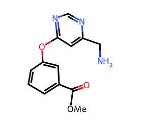 COC(=O)c1cccc(Oc2cc(CN)ncn2)c1